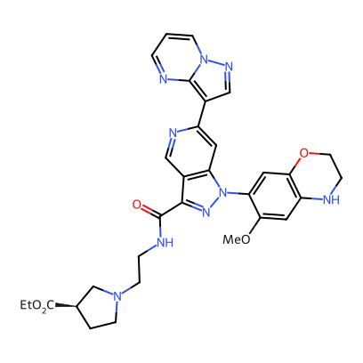 CCOC(=O)[C@@H]1CCN(CCNC(=O)c2nn(-c3cc4c(cc3OC)NCCO4)c3cc(-c4cnn5cccnc45)ncc23)C1